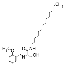 CCCCCCCCCCCCCCNC(=O)[C@H](CO)N=Cc1ccccc1OC